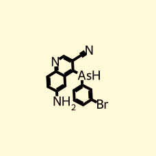 N#Cc1cnc2ccc(N)cc2c1[AsH]c1cccc(Br)c1